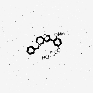 COc1ccc(OC(F)(F)F)cc1C1=CC2(CCCN(Cc3ccccc3)C2)OC1.Cl